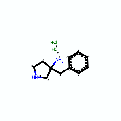 Cl.Cl.NC1(Cc2ccccc2)CCNC1